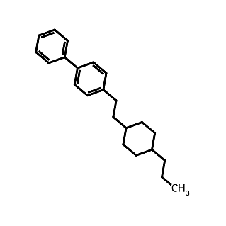 CCCC1CCC(CCc2ccc(-c3ccccc3)cc2)CC1